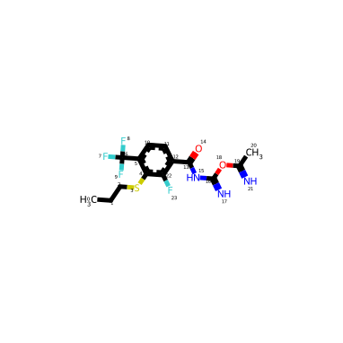 CCCSc1c(C(F)(F)F)ccc(C(=O)NC(=N)OC(C)=N)c1F